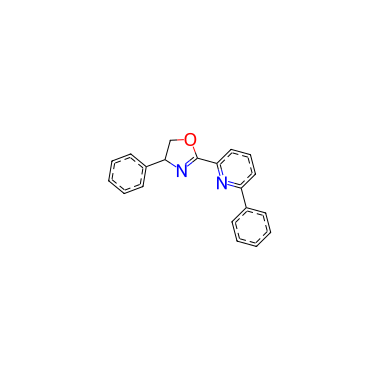 c1ccc(-c2cccc(C3=NC(c4ccccc4)CO3)n2)cc1